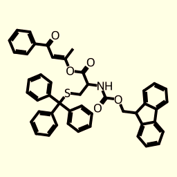 C/C(=C\C(=O)c1ccccc1)OC(=O)C(CSC(c1ccccc1)(c1ccccc1)c1ccccc1)NC(=O)OCC1c2ccccc2-c2ccccc21